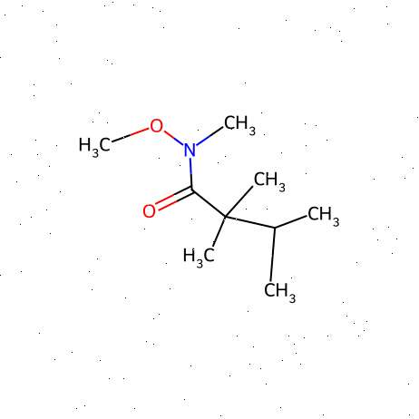 CON(C)C(=O)C(C)(C)C(C)C